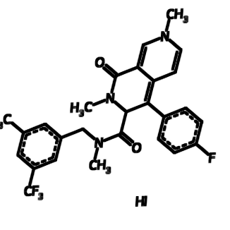 CN1C=CC2=C(c3ccc(F)cc3)C(C(=O)N(C)Cc3cc(C(F)(F)F)cc(C(F)(F)F)c3)N(C)C(=O)C2=C1.I